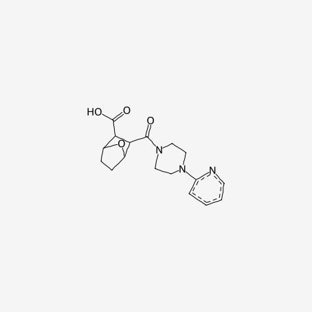 O=C(O)C1C2CCC(O2)C1C(=O)N1CCN(c2ccccn2)CC1